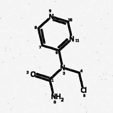 NC(=O)N(CCl)c1ccncn1